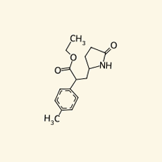 CCOC(=O)C(CC1CCC(=O)N1)c1ccc(C)cc1